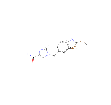 CSc1nc2ccc(Cn3cc(C(N)=O)nc3C)cc2s1